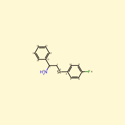 NC(C[Se]c1ccc(F)cc1)c1ccccc1